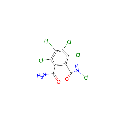 NC(=O)c1c(Cl)c(Cl)c(Cl)c(Cl)c1C(=O)NCl